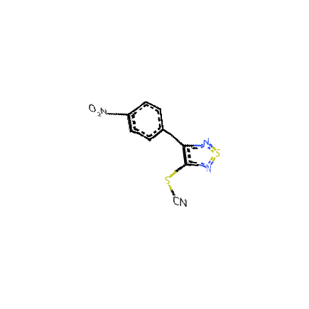 N#CSc1nsnc1-c1ccc([N+](=O)[O-])cc1